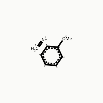 C=N.COc1ccccc1